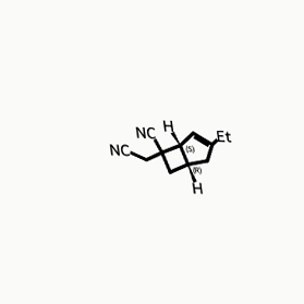 CCC1=C[C@@H]2[C@H](C1)CC2(C#N)CC#N